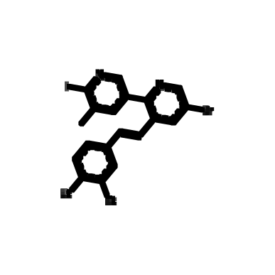 CCc1ccc(/C=C/c2cc(Br)cnc2-c2cnc(I)c(C)c2)cc1CC